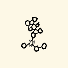 C1=CC2=C(CC1)C1(c3ccccc32)c2ccccc2C2(c3ccccc3-c3cc(-c4nc(-c5ccccc5)nc(-c5cccc(-c6ccccc6)c5)n4)ccc32)c2ccccc21